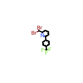 FC(F)(F)c1ccc(-c2cccc(C(Br)Br)n2)cc1